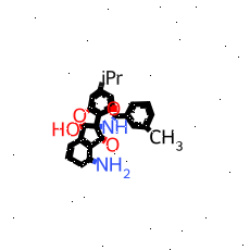 Cc1cccc(C(=O)NC23C(=O)C4=C(C=CCC4N)C2(O)Oc2cc(C(C)C)ccc23)c1